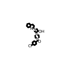 O=C(c1ccc(Cl)cc1)N1CCN(C2CN(c3ccc4ccccc4n3)CC2O)CC1